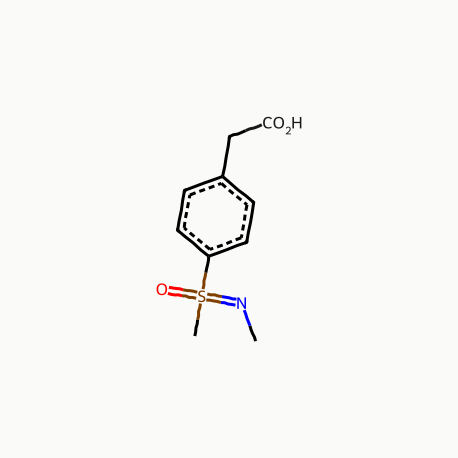 CN=S(C)(=O)c1ccc(CC(=O)O)cc1